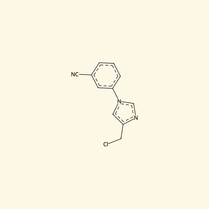 N#Cc1cccc(-n2cnc(CCl)c2)c1